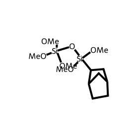 CO[Si](OC)(OC)O[Si](OC)(OC)C1CC2CCC1C2